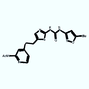 CC(=O)Nc1cc(CCc2cnc(NC(=O)Nc3cc(C(C)(C)C)on3)s2)ccn1